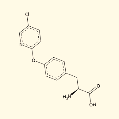 N[C@@H](Cc1ccc(Oc2ccc(Cl)cn2)cc1)C(=O)O